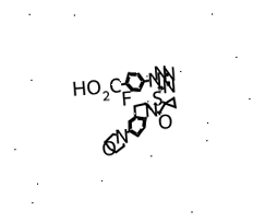 O=C(O)c1ccc(-n2nnnc2SC2(C(=O)N3CCc4cc(N5CCOCC5)ccc43)CC2)cc1F